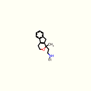 CCNCCC1(C)OCCC2=C1Cc1ccccc12